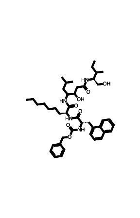 CCCCCCC[C@H](NC(=O)[C@H](Cc1cccc2ccccc12)NC(=O)OCc1ccccc1)C(=O)NC(CC(C)C)C(O)CC(=O)N[C@H](CO)C(C)CC